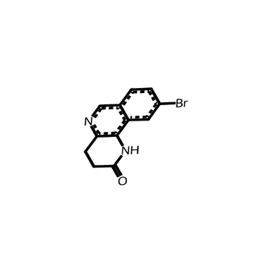 O=C1CCc2ncc3ccc(Br)cc3c2N1